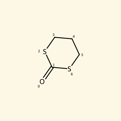 O=C1SCCCS1